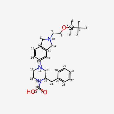 CC(C)(C)[Si](C)(C)OCCN1Cc2ccc(N3CCN(C(=O)O)C(Cc4ccccc4)C3)cc2C1